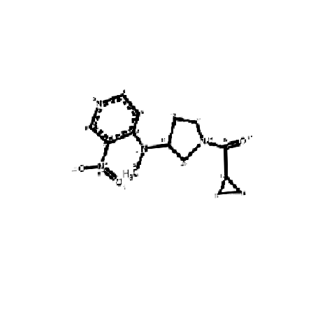 CN(c1ccncc1[N+](=O)[O-])C1CCN(C(=O)C2CC2)C1